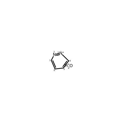 C1=CN=[N+]C=C1.O